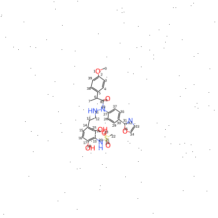 COc1ccc(C(C)C(=O)N(NCCc2ccc(O)c(NS(C)(=O)=O)c2O)c2ccc(-c3ncco3)cc2)cc1